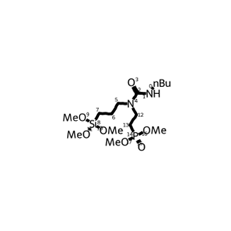 CCCCNC(=O)N(CCC[Si](OC)(OC)OC)CCP(=O)(OC)OC